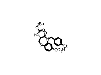 CCc1ccc(CN2C(=O)[C@@H](NC(=O)OC(C)(C)C)CSc3ccc(C(=O)O)cc32)cc1